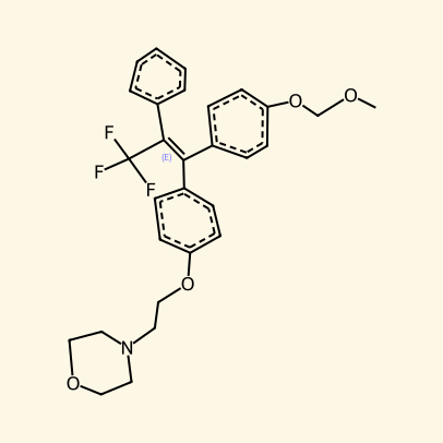 COCOc1ccc(/C(=C(\c2ccccc2)C(F)(F)F)c2ccc(OCCN3CCOCC3)cc2)cc1